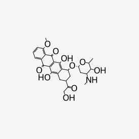 CNC1C[C@H](O[C@H]2CC(C(=O)CO)Cc3c(O)c4c(c(O)c32)C(=O)c2c(OC)cccc2C4=O)OC(C)C1O